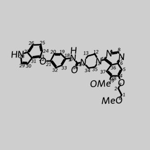 COCCOc1cc2ncnc(N3CCN(C(=O)Nc4ccc(Oc5cccc6[nH]ccc56)cc4)CC3)c2cc1OC